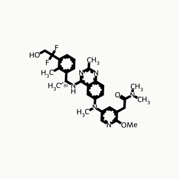 COc1ncc(N(C)c2ccc3nc(C)nc(N[C@H](C)c4cccc(C(F)(F)CO)c4C)c3c2)cc1CC(=O)N(C)C